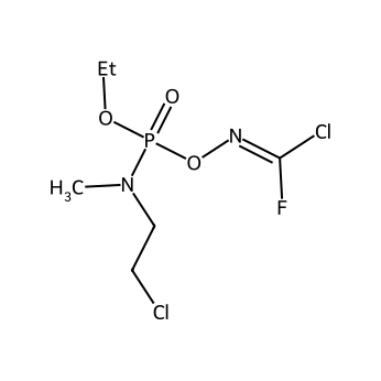 CCOP(=O)(O/N=C(\F)Cl)N(C)CCCl